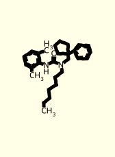 CCCCCCCN(CC1(c2ccccc2)CCCC1)C(=O)Nc1c(C)cccc1C